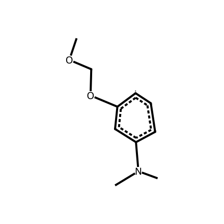 COCOc1[c]ccc(N(C)C)c1